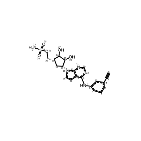 C#Cc1cccc(Nc2ncnc3c2ccn3[C@@H]2C[C@H](COS(N)(=O)=O)[C@@H](O)[C@H]2O)c1